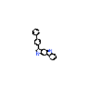 C1=CCC2=c3cc4c(cc3=NC2=C1)C(c1ccc(-c2ccccc2)cc1)C=N4